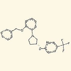 FC(F)(F)c1ccc(O[C@@H]2CCN(c3ccccc3OCc3ccccc3)C2)nc1